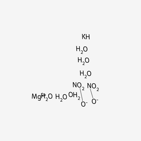 O.O.O.O.O.O.O=[N+]([O-])[O-].O=[N+]([O-])[O-].[KH].[Mg+2]